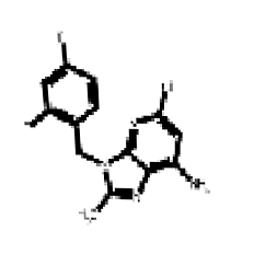 Cc1nc2c(N)cc(Cl)nc2n1Cc1ccc(F)cc1F